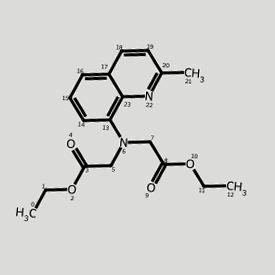 CCOC(=O)CN(CC(=O)OCC)c1cccc2ccc(C)nc12